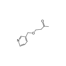 CC(=O)CCOCc1cccnc1